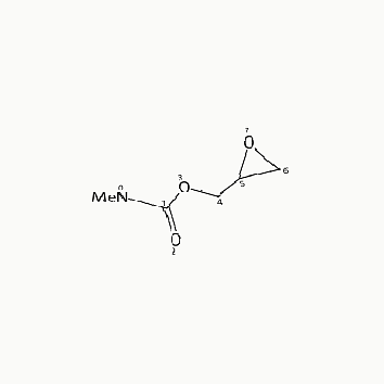 CNC(=O)OCC1CO1